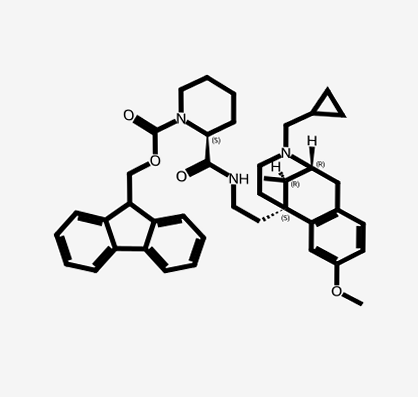 COc1ccc2c(c1)[C@@]1(CCNC(=O)[C@@H]3CCCCN3C(=O)OCC3c4ccccc4-c4ccccc43)CCN(CC3CC3)[C@H](C2)[C@@H]1C